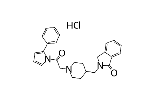 Cl.O=C1c2ccccc2CN1CC1CCN(CC(=O)n2cccc2-c2ccccc2)CC1